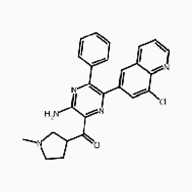 CN1CCC(C(=O)c2nc(-c3cc(Cl)c4ncccc4c3)c(-c3ccccc3)nc2N)C1